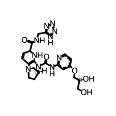 O=C(NCc1nnn[nH]1)C1C=CC2=C(N1)N(C(=O)Nc1cc(OC[C@H](O)CO)ccn1)[C@H]1CCN2C1